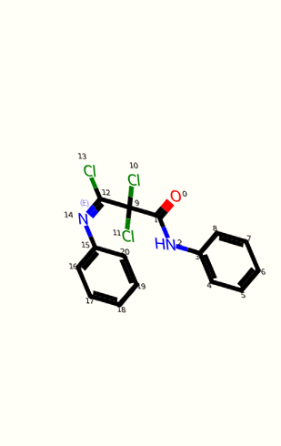 O=C(Nc1ccccc1)C(Cl)(Cl)/C(Cl)=N\c1ccccc1